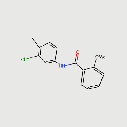 COc1ccccc1C(=O)Nc1ccc(C)c(Cl)c1